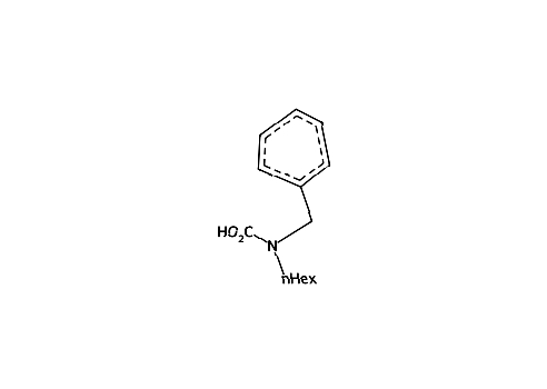 CCCCCCN(Cc1ccccc1)C(=O)O